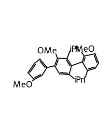 COc1cccc(-c2cc(C(C)C)c(-c3c(I)cccc3OC)c(C(C)C)c2OC)c1